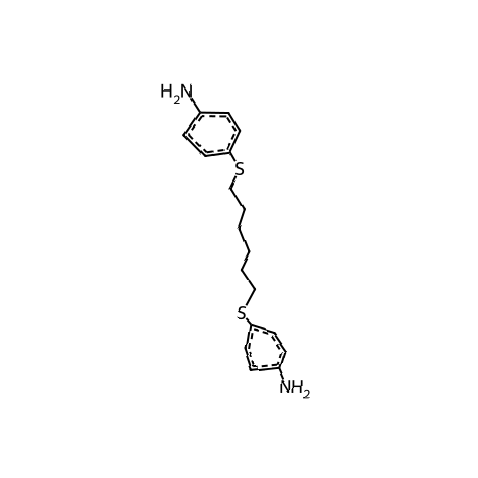 Nc1ccc(SCCCCCCSc2ccc(N)cc2)cc1